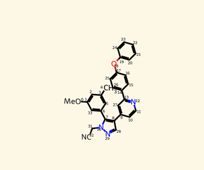 COc1cc(C)cc(-c2c(-c3ccnc(-c4ccc(Oc5ccccc5)cc4)c3)cnn2CC#N)c1